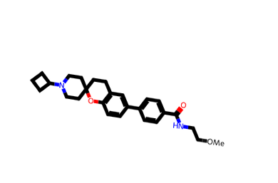 COCCNC(=O)c1ccc(-c2ccc3c(c2)CCC2(CCN(C4CCC4)CC2)O3)cc1